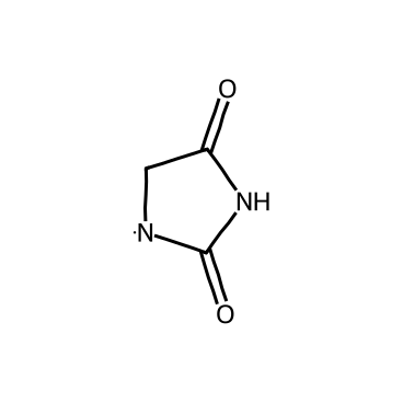 O=C1C[N]C(=O)N1